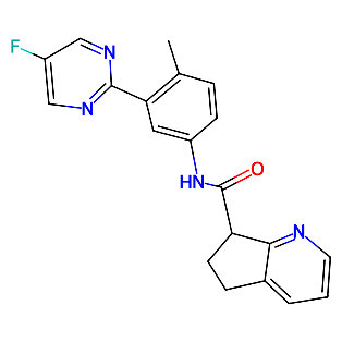 Cc1ccc(NC(=O)C2CCc3cccnc32)cc1-c1ncc(F)cn1